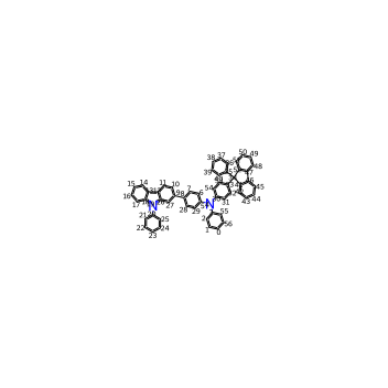 c1ccc(N(c2ccc(-c3ccc4c5ccccc5n(-c5ccccc5)c4c3)cc2)c2ccc(C3(c4ccccc4)c4ccccc4-c4ccccc43)cc2)cc1